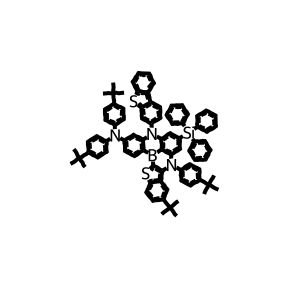 CC(C)(C)c1ccc(N(c2ccc(C(C)(C)C)cc2)c2ccc3c(c2)N(c2ccc4c(c2)sc2ccccc24)c2cc([Si](c4ccccc4)(c4ccccc4)c4ccccc4)cc4c2B3c2sc3ccc(C(C)(C)C)cc3c2N4c2ccc(C(C)(C)C)cc2)cc1